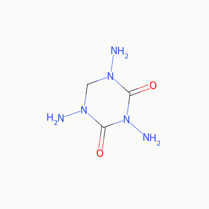 NN1CN(N)C(=O)N(N)C1=O